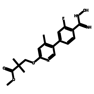 COC(=O)C(C)(C)COc1cc(C)c(-c2ccc(C(=N)NO)c(F)c2)cn1